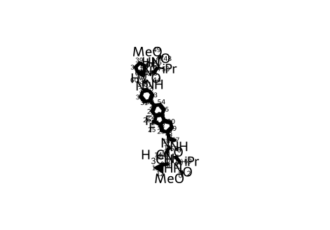 COC(=O)N[C@H](C(=O)N(CC1(C)CC1)[C@@H](C)c1nc(-c2ccc3c(c2)C(F)(F)c2cc(-c4ccc5nc([C@@H]6[C@H]7CC[C@H](C7)N6C(=O)[C@@H](NC(=O)OC)C(C)C)[nH]c5c4)ccc2-3)c[nH]1)C(C)C